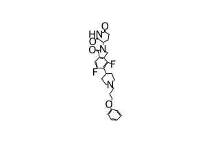 O=C1CCC(N2Cc3c(cc(F)c(C4CCN(CCCOc5ccccc5)CC4)c3F)C2=O)C(=O)N1